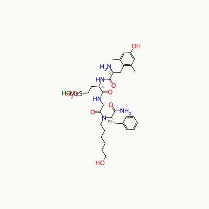 CSCC[C@@H](NC(=O)[C@@H](N)Cc1c(C)cc(O)cc1C)C(=O)NCC(=O)N(CCCCCCO)[C@@H](Cc1ccccc1)C(N)=O.Cl.O